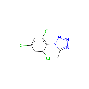 Cc1nnnn1-c1c(Cl)cc(Cl)cc1Cl